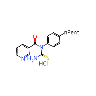 CCCCCc1ccc(N(C(=O)c2cccnc2)C(N)=S)cc1.Cl